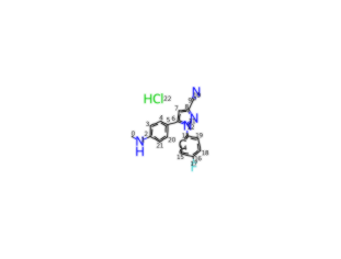 CNc1ccc(-c2cc(C#N)nn2-c2ccc(F)cc2)cc1.Cl